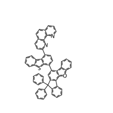 c1ccc(C2(c3ccccc3)c3ccccc3-c3c2cc(-c2ccc(-c4ccc5ccc6cccnc6c5n4)c4c2sc2ccccc24)c2c3oc3ccccc32)cc1